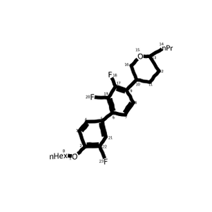 CCCCCCOc1ccc(-c2ccc(C3CCC(CCC)OC3)c(F)c2F)cc1F